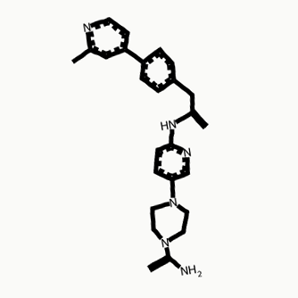 C=C(Cc1ccc(-c2ccnc(C)c2)cc1)Nc1ccc(N2CCN(C(=C)N)CC2)cn1